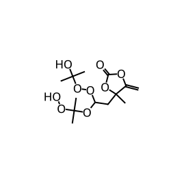 C=C1OC(=O)OC1(C)CC(OOC(C)(C)O)OC(C)(C)OO